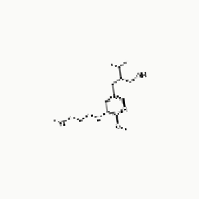 COCCCOc1cc(CC(CO)C(C)C)cnc1OC